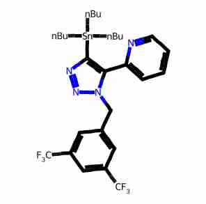 CCC[CH2][Sn]([CH2]CCC)([CH2]CCC)[c]1nnn(Cc2cc(C(F)(F)F)cc(C(F)(F)F)c2)c1-c1ccccn1